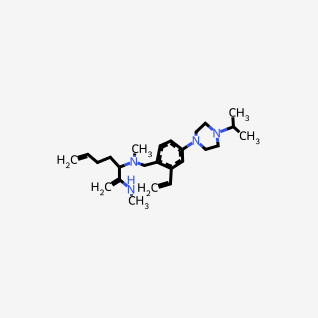 C=CCCC(C(=C)NC)N(C)Cc1ccc(N2CCN(C(C)C)CC2)cc1C=C